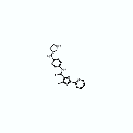 Cc1nc(-c2ccccn2)sc1C(=O)Nc1ccc(N[C@H]2CCNC2)nc1